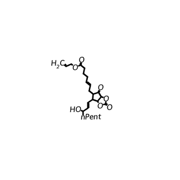 C=CCOC(=O)CCCC=CCC1C(=O)C2OC(=O)OC2C1C=CC(O)CCCCC